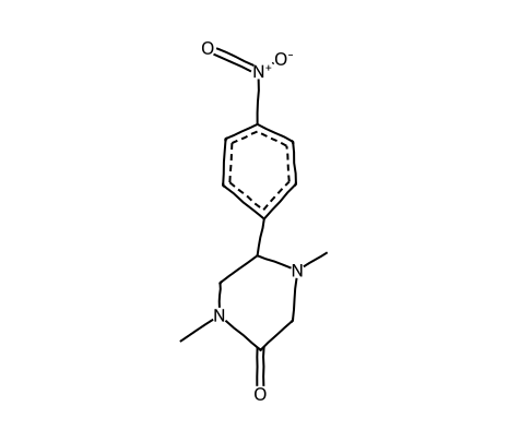 CN1CC(c2ccc([N+](=O)[O-])cc2)N(C)CC1=O